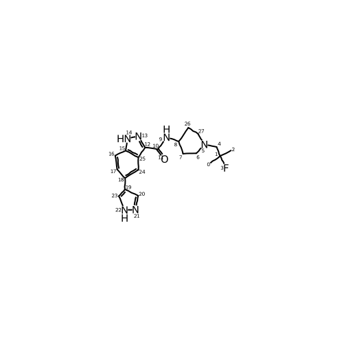 CC(C)(F)CN1CCC(NC(=O)c2n[nH]c3ccc(-c4cn[nH]c4)cc23)CC1